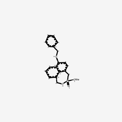 COP1(=O)Cc2ccc(OCc3ccccc3)c3cccc(c23)CO1